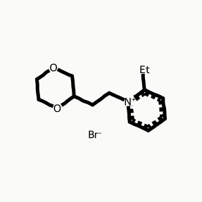 CCc1cccc[n+]1CCC1COCCO1.[Br-]